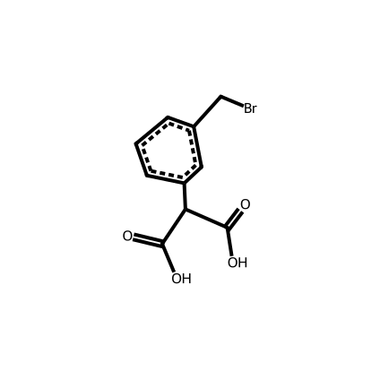 O=C(O)C(C(=O)O)c1cccc(CBr)c1